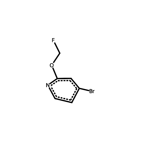 FCOc1cc(Br)ccn1